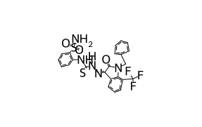 NS(=O)(=O)c1ccccc1NC(=S)NN=C1C(=O)N(Cc2ccccc2)c2c1cccc2C(F)(F)F